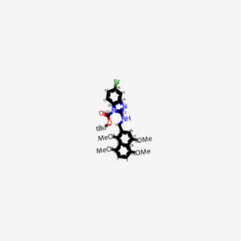 COc1ccc(OC)c2c(OC)c(CNc3nc4cc(Br)ccc4n3C(=O)OC(C)(C)C)cc(OC)c12